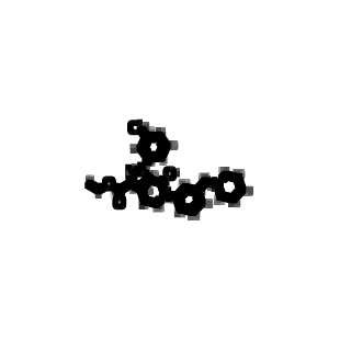 CCOC(=O)c1nn(-c2cccc(Cl)c2)c2c1CCN(c1cccc(CN3CCCCC3)c1)C2=O